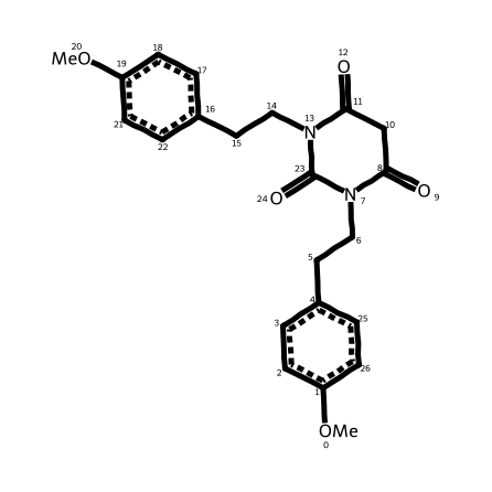 COc1ccc(CCN2C(=O)CC(=O)N(CCc3ccc(OC)cc3)C2=O)cc1